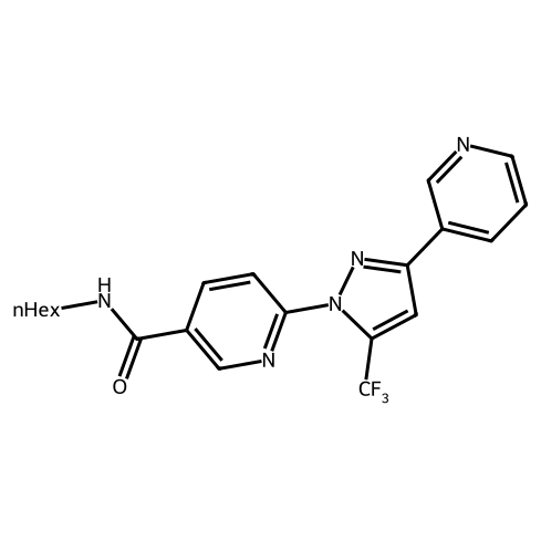 CCCCCCNC(=O)c1ccc(-n2nc(-c3cccnc3)cc2C(F)(F)F)nc1